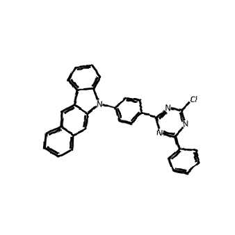 Clc1nc(-c2ccccc2)nc(-c2ccc(-n3c4ccccc4c4cc5ccccc5cc43)cc2)n1